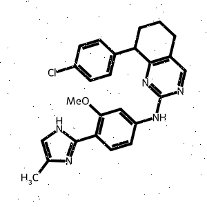 COc1cc(Nc2ncc3c(n2)C(c2ccc(Cl)cc2)CCC3)ccc1-c1nc(C)c[nH]1